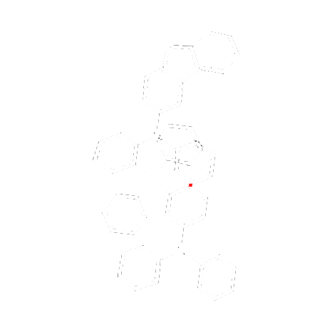 c1ccc(N(c2ccccc2)c2cccc([Si](c3ccccc3)(c3ccccc3)c3ccccc3N(c3ccccc3)c3ccc4sc5ccccc5c4c3)c2)cc1